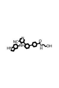 N#Cc1cncc(-c2cccc(-c3ccc(C(=O)NCCO)cc3)c2)c1Nc1ccc2[nH]ccc2c1